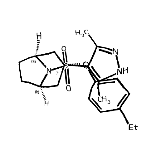 CCc1ccc(O[C@@H]2C[C@H]3CC[C@@H](C2)N3S(=O)(=O)c2c(C)n[nH]c2C)cc1